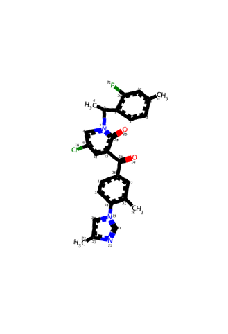 Cc1ccc(C(C)n2cc(Cl)cc(C(=O)c3ccc(-n4cnc(C)c4)c(C)c3)c2=O)c(F)c1